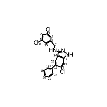 Clc1cc(Cl)cc(CNc2n[nH]c3cc(Cl)c(-c4ccccc4)cc23)c1